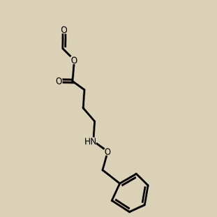 O=COC(=O)CCCNOCc1ccccc1